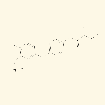 CC[C@@H](N)C(=O)Nc1cnc(Oc2ccc(C)c(OC(F)(F)F)c2)nc1